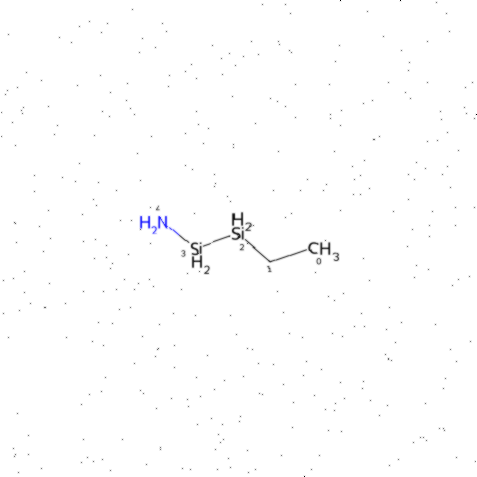 CC[SiH2][SiH2]N